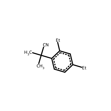 CCc1ccc(C(C)(C)C#N)c(CC)c1